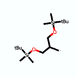 [CH2]C(CO[Si](C)(C)C(C)(C)C)CO[Si](C)(C)C(C)(C)C